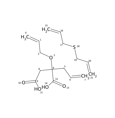 C=CCOC(CC=C)(CC(=O)O)C(=O)O.C=CCSCC=C